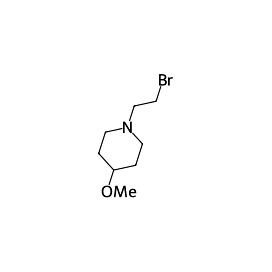 COC1CCN(CCBr)CC1